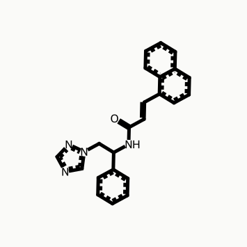 O=C(/C=C/c1cccc2ccccc12)NC(Cn1cncn1)c1ccccc1